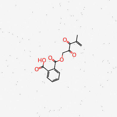 C=C(C)C(=O)C(=O)COC(=O)c1ccccc1C(=O)O